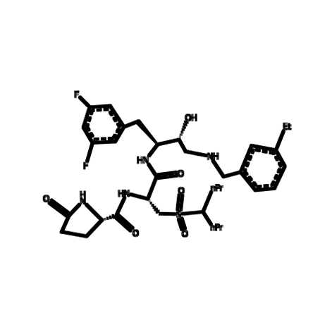 CCCC(CCC)S(=O)(=O)C[C@H](NC(=O)[C@@H]1CCC(=O)N1)C(=O)N[C@@H](Cc1cc(F)cc(F)c1)[C@H](O)CNCc1cccc(CC)c1